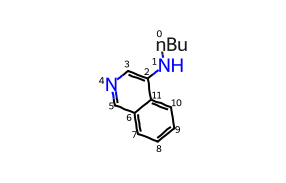 CCCCNc1cncc2ccccc12